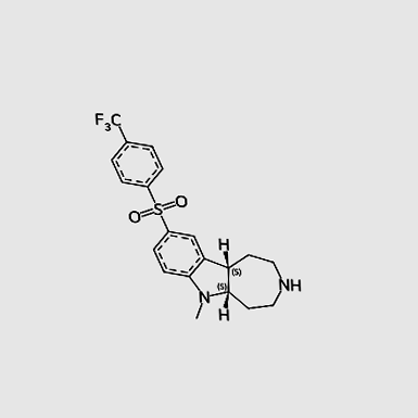 CN1c2ccc(S(=O)(=O)c3ccc(C(F)(F)F)cc3)cc2[C@@H]2CCNCC[C@@H]21